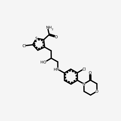 NC(=O)c1sc(Cl)cc1CC(O)CNc1ccc(N2CCOCC2=O)c(Cl)c1